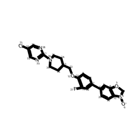 [O-][S+]1COc2cc(-c3ccc(OCC4CCN(c5ncc(Cl)cn5)CC4)c(F)c3)ccc21